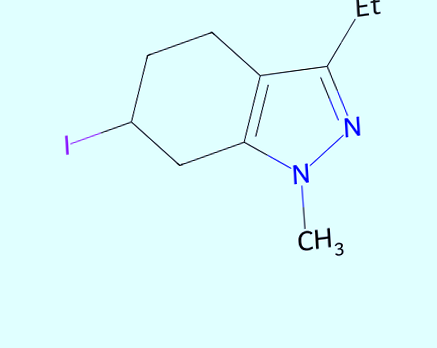 CCc1nn(C)c2c1CCC(I)C2